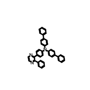 c1ccc(-c2ccc(N(c3ccc(-c4ccccc4)cc3)c3ccc(-c4nccnc4-c4ccccc4)cc3)cc2)cc1